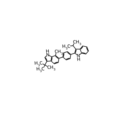 Cc1c(-c2ccc(-c3[nH]c4ccccc4c3C(C)C)cc2)ccc2c(C(C)(C)C)c[nH]c12